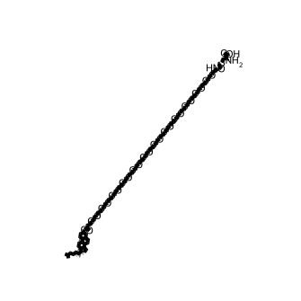 CC(C)CCC[C@@H](C)[C@H]1CCC2C3CC=C4CC(OC(=O)CCOCCOCCOCCOCCOCCOCCOCCOCCOCCOCCOCCOCCOCCOCCOCCOCCOCCOCCOCCOCCOCCOCCOCCOCCNC(=O)CSC[C@H](N)C(=O)O)CC[C@]4(C)C3CC[C@@]21C